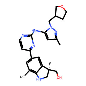 Cc1cc(Nc2nccc(-c3cc(C#N)c4c(c3)[C@@](C)(CO)CN4)n2)n(CC2CCOC2)n1